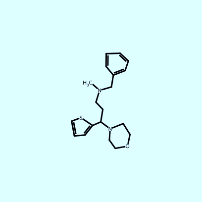 CN(CCC(c1cccs1)N1CCOCC1)Cc1ccccc1